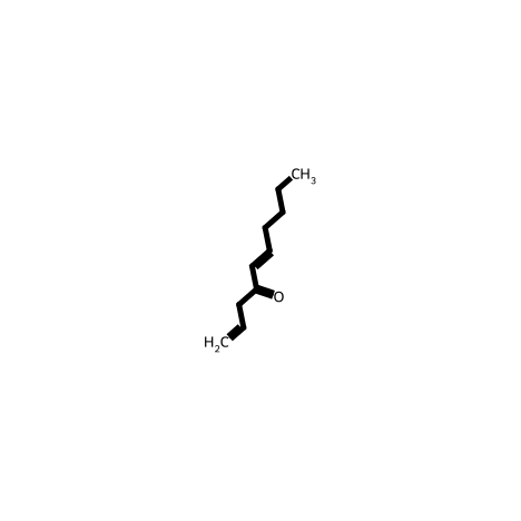 C=CCC(=O)/C=C/CCCC